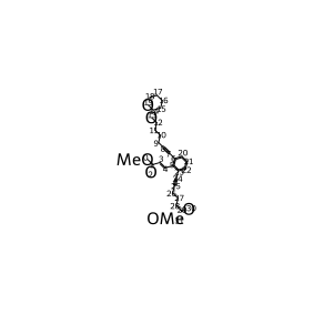 COC(=O)C=Cc1c(C#CCCCCOC2CCCCO2)cccc1C#CCCCC(=O)OC